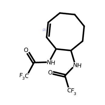 O=C(NC1/C=C\CCCCC1NC(=O)C(F)(F)F)C(F)(F)F